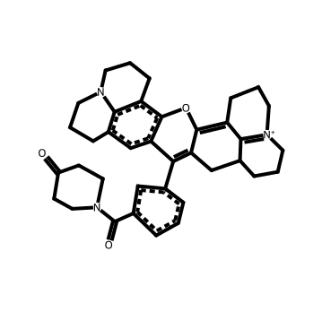 O=C1CCN(C(=O)c2cccc(C3=C4CC5CCC[N+]6=C5C(=C4Oc4c3cc3c5c4CCCN5CCC3)CCC6)c2)CC1